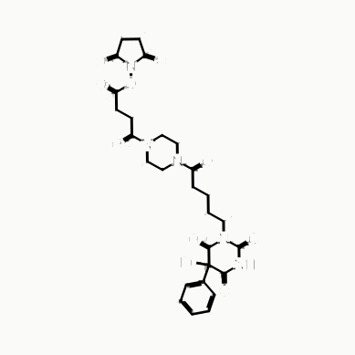 CCC1(c2ccccc2)C(=O)NC(=O)N(CCCCC(=O)N2CCN(C(=O)CCC(=O)ON3C(=O)CCC3=O)CC2)C1=O